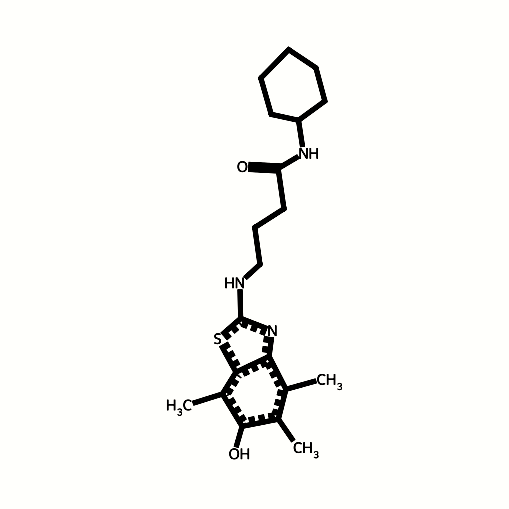 Cc1c(O)c(C)c2sc(NCCCC(=O)NC3CCCCC3)nc2c1C